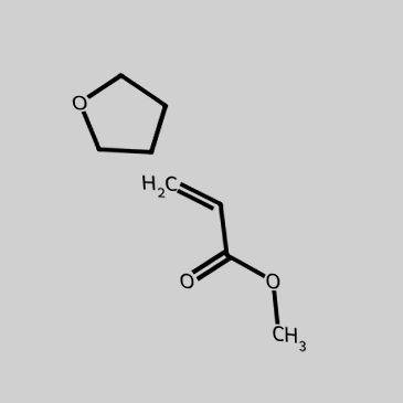 C1CCOC1.C=CC(=O)OC